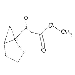 COC(=O)C(=O)C12CCCC1C2